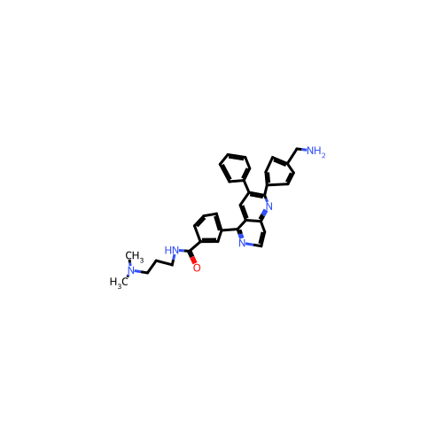 CN(C)CCCNC(=O)c1cccc(-c2nccc3nc(-c4ccc(CN)cc4)c(-c4ccccc4)cc23)c1